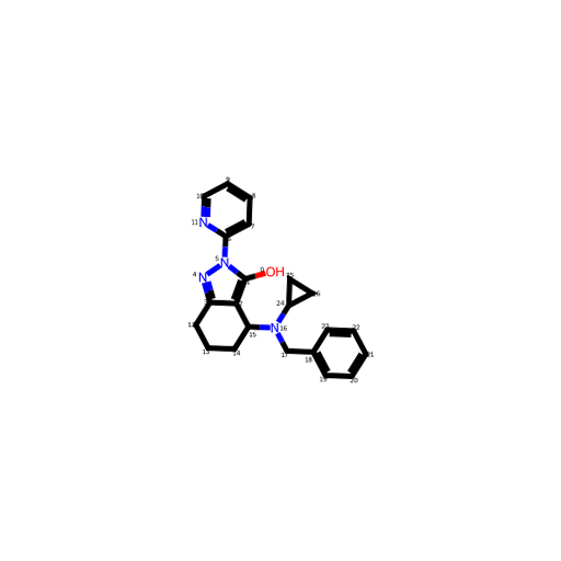 Oc1c2c(nn1-c1ccccn1)CCCC2N(Cc1ccccc1)C1CC1